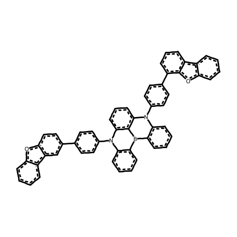 c1ccc2c(c1)B1c3ccccc3N(c3ccc(-c4cccc5c4oc4ccccc45)cc3)c3cccc(c31)N2c1ccc(-c2ccc3oc4ccccc4c3c2)cc1